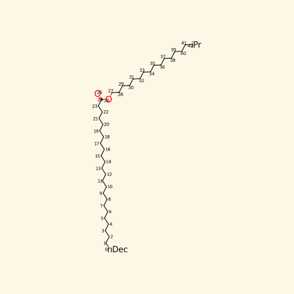 CCCCCCCCCCCCCCCCCCCCCCCCCCCCCCCCCC(=O)OCCCCCCCCCCCCCCCC(C)C